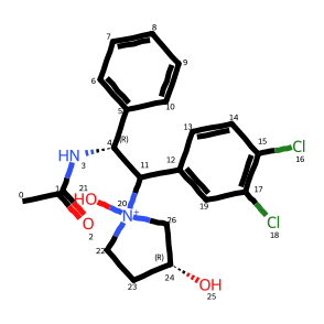 CC(=O)N[C@H](c1ccccc1)C(c1ccc(Cl)c(Cl)c1)[N+]1(O)CC[C@@H](O)C1